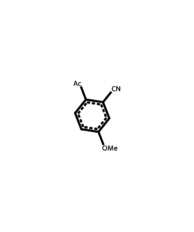 COc1ccc(C(C)=O)c(C#N)c1